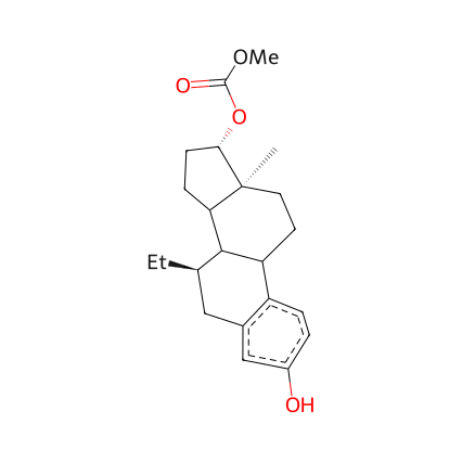 CC[C@@H]1Cc2cc(O)ccc2C2CC[C@@]3(C)C(CC[C@@H]3OC(=O)OC)C21